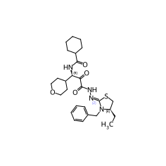 CC[C@@H]1CS/C(=N\NC(=O)C(=O)[C@H](NC(=O)C2CCCCC2)C2CCOCC2)N1Cc1ccccc1